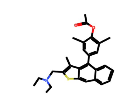 CCN(CC)Cc1sc2cc3ccccc3c(-c3cc(C)c(OC(C)=O)c(C)c3)c2c1C